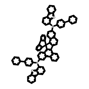 c1ccc(-c2ccc(N(c3ccc4c5c(ccc4c3)-c3c(c4ccc(N(c6ccc(-c7ccccc7)cc6)c6cccc7c6oc6ccccc67)cc4c4ccccc34)C53c4ccccc4-c4ccccc43)c3cccc4c3oc3ccccc34)cc2)cc1